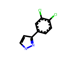 Clc1ccc(C2=N[N]C=C2)cc1Cl